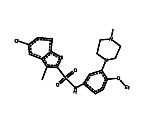 CCOc1ccc(NS(=O)(=O)c2sc3ccc(Cl)cc3c2C)cc1N1CCN(C)CC1